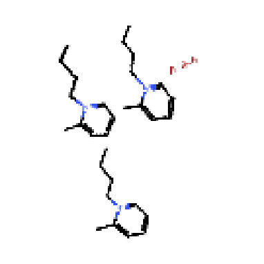 CCCC[n+]1ccccc1C.CCCC[n+]1ccccc1C.CCCC[n+]1ccccc1C.[Br-].[Br-].[Br-]